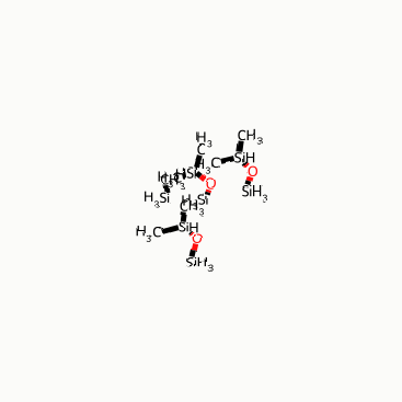 C[SiH3].C[SiH](C)O[SiH3].C[SiH](C)O[SiH3].C[SiH](C)O[SiH3]